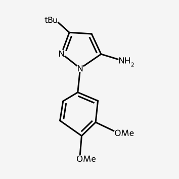 COc1ccc(-n2nc(C(C)(C)C)cc2N)cc1OC